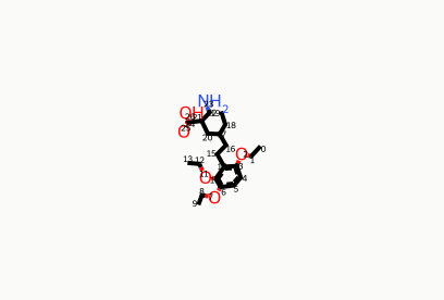 CCOc1ccc(OCC)c(OCC)c1CCC(CC)CC(CN)C(=O)O